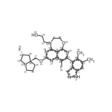 Cc1cc2[nH]ncc2c(-c2nc3c4c(nc(OC[C@@]56CCCN5C[C@H](F)C6)nc4c2F)N(CCO)CCO3)c1C